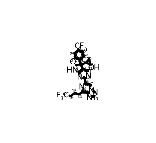 O=C1Nc2nc(-c3cn4ncnc4c(CCCC(F)(F)F)n3)nc(O)c2C1(c1ccc(C(F)(F)F)cc1)C1CC1